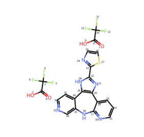 O=C(O)C(F)(F)F.O=C(O)C(F)(F)F.c1cnc2c(c1)-c1nc(-c3nccs3)[nH]c1-c1ccncc1N2